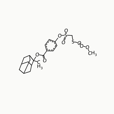 COOOSCS(=O)(=O)Oc1ccc(C(=O)OC2(C)C3CC4CC(C3)CC2C4)cc1